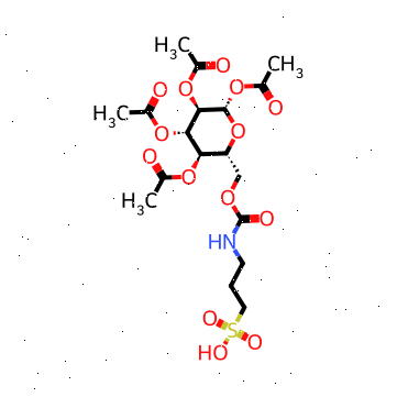 CC(=O)O[C@@H]1O[C@H](COC(=O)NCCCS(=O)(=O)O)[C@@H](OC(C)=O)[C@H](OC(C)=O)[C@H]1OC(C)=O